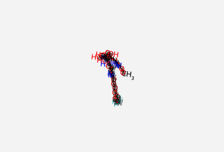 COCCOCCn1cc(CCCCCCO[C@]2(C(=O)O)C[C@H](O)[C@@H](NC(=O)CO)[C@H]([C@H](O)[C@H](O)CNC(=O)Cc3ccc(-c4cn(CCOCCOCCOCCOCCC(=O)Oc5c(F)c(F)c(F)c(F)c5F)nn4)cc3)O2)nn1